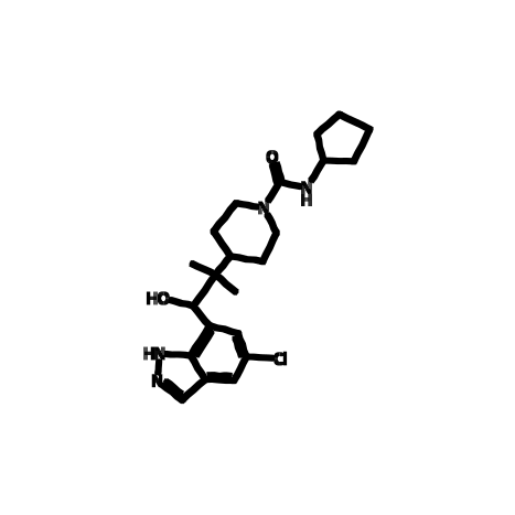 CC(C)(C1CCN(C(=O)NC2CCCC2)CC1)C(O)c1cc(Cl)cc2cn[nH]c12